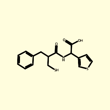 O=C(NC(C(=O)O)c1ccsc1)C(CS)Cc1ccccc1